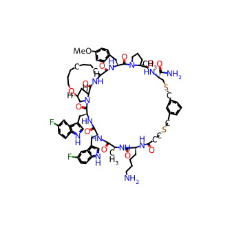 COc1ccc(C[C@@H]2NC(=O)[C@@H]3CCCCCCCO[C@H]4C[C@@H](C(=O)N3)N(C4)C(=O)[C@H](Cc3c[nH]c4ccc(F)cc34)NC(=O)[C@H](Cc3c[nH]c4ccc(F)cc34)NC(=O)[C@@H](C)NC(=O)[C@H](CCCCN)NC(=O)CCSCc3cccc(c3)CSC[C@@H](C(N)=O)NC(=O)[C@]3(C)CCCN3C2=O)cc1